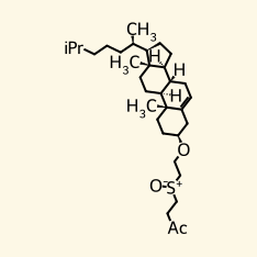 CC(=O)CC[S+]([O-])CCO[C@H]1CC[C@@]2(C)C(=CC[C@H]3[C@@H]4CC[C@H]([C@H](C)CCCC(C)C)[C@@]4(C)CC[C@@H]32)C1